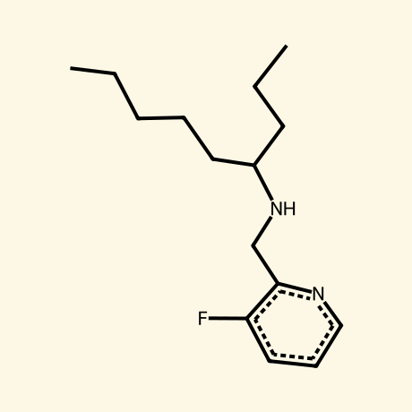 CCCCCC(CCC)NCc1ncccc1F